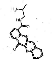 CC(N)CNC(=O)c1cccn2c(=O)c3cc4ccccc4cc3nc12